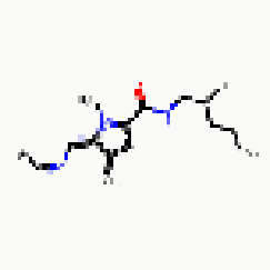 C=c1cc(C(=O)NCC(CC)CCNC)n(C)/c1=C/N=C\C